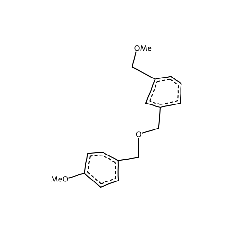 COCc1cccc(COCc2ccc(OC)cc2)c1